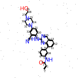 C=CC(=O)Nc1cccc(-c2cccc3cnc(Nc4ccc(N5CCN(CCO)CC5)cc4C#N)nc23)c1